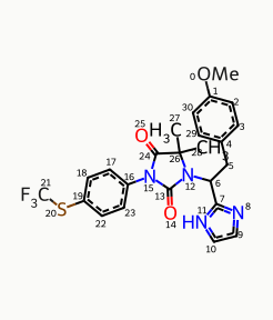 COc1ccc(CC(c2ncc[nH]2)N2C(=O)N(c3ccc(SC(F)(F)F)cc3)C(=O)C2(C)C)cc1